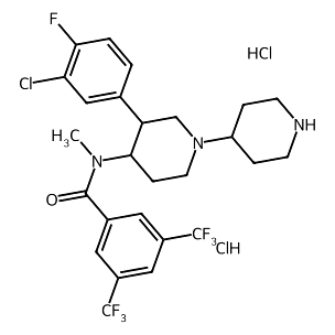 CN(C(=O)c1cc(C(F)(F)F)cc(C(F)(F)F)c1)C1CCN(C2CCNCC2)CC1c1ccc(F)c(Cl)c1.Cl.Cl